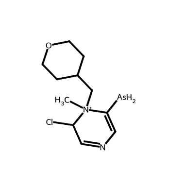 C[N+]1(CC2CCOCC2)C([AsH2])=CN=CC1Cl